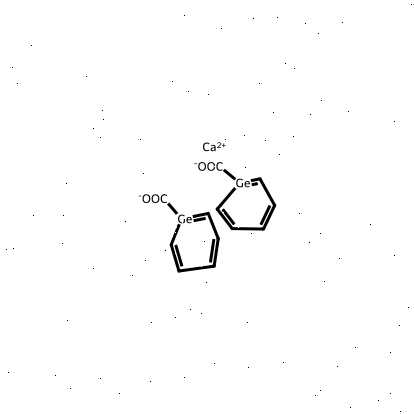 O=[C]([O-])[Ge]1=[CH]C=CC=[CH]1.O=[C]([O-])[Ge]1=[CH]C=CC=[CH]1.[Ca+2]